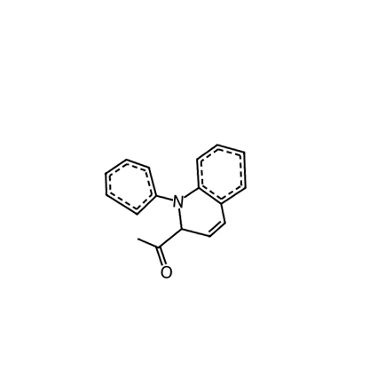 CC(=O)C1C=Cc2ccccc2N1c1ccccc1